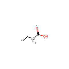 CC[SiH2]C(=O)O